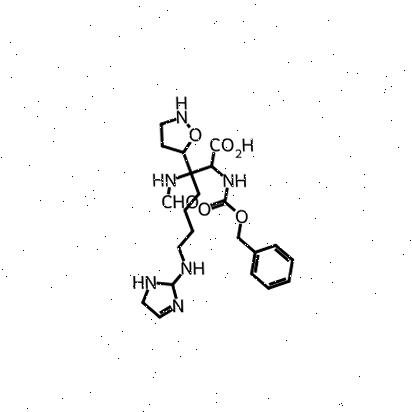 O=CNC(CCCCNC1N=CCN1)(C1CCNO1)C(NC(=O)OCc1ccccc1)C(=O)O